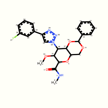 CNC(=O)C1OC2COC(c3ccccc3)OC2C(n2cc(-c3cccc(F)c3)nn2)C1OC